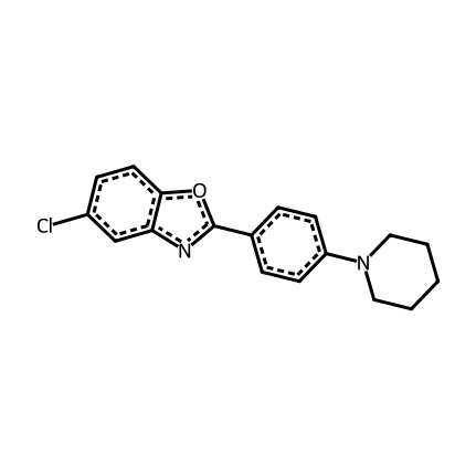 Clc1ccc2oc(-c3ccc(N4CCCCC4)cc3)nc2c1